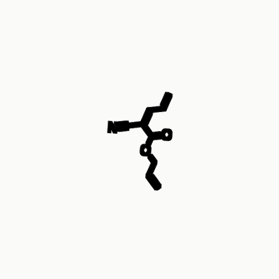 C=CC=C(C#N)C(=O)OCC=C